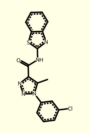 Cc1c(C(=O)Nc2nc3ccccc3s2)nnn1-c1cccc(Cl)c1